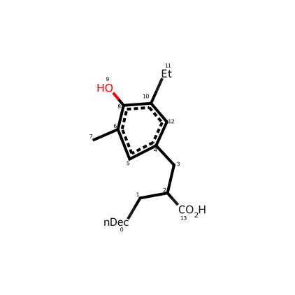 CCCCCCCCCCCC(Cc1cc(C)c(O)c(CC)c1)C(=O)O